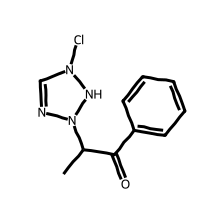 CC(C(=O)c1ccccc1)N1N=CN(Cl)N1